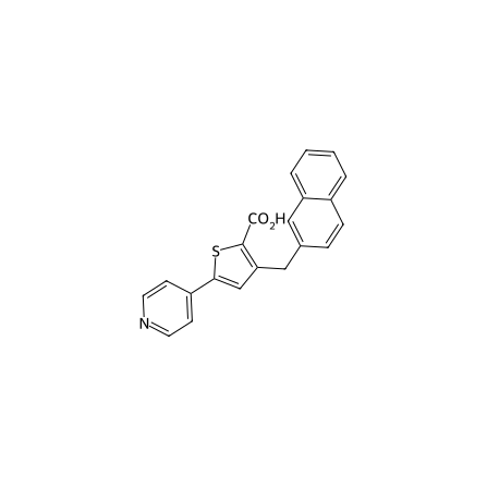 O=C(O)c1sc(-c2ccncc2)cc1Cc1ccc2ccccc2c1